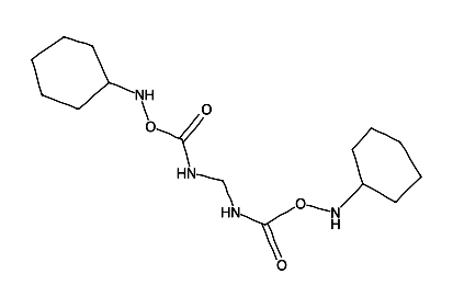 O=C(NCNC(=O)ONC1CCCCC1)ONC1CCCCC1